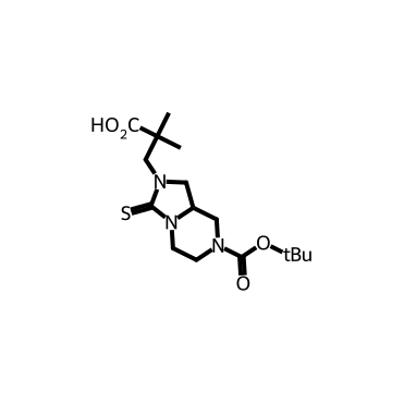 CC(C)(C)OC(=O)N1CCN2C(=S)N(CC(C)(C)C(=O)O)CC2C1